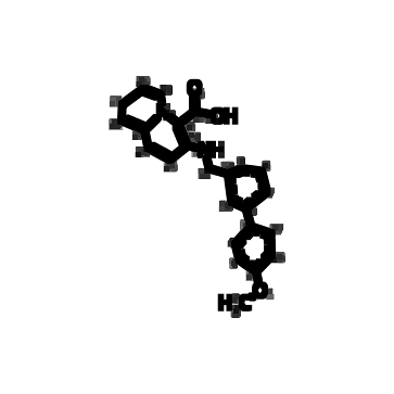 COc1ccc(-c2cccc(CNC3=C(C(=O)O)N4C=CCC=C4C=C3)c2)cc1